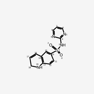 O=S(=O)(Nc1ncccn1)c1ccc2c(c1)C=CCN2